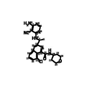 C[C@H](Nc1ncnc(N)c1C#N)c1cc2cccc(Cl)c2c(C(=O)NC2CCOCC2)n1